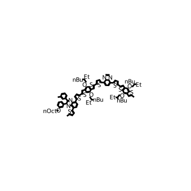 CCCCCCCCOc1cccc(-c2nc3c(-c4ccc(C)s4)ccc(-c4ccc(-c5cc6c(OCC(CC)CCCC)c7sc(-c8ccc(-c9ccc(-c%10ccc(-c%11cc%12c(OCC(CC)CCCC)c%13sc(C)cc%13c(OCC(CC)CCCC)c%12s%11)s%10)c%10nccnc9%10)s8)cc7c(OCC(CC)CCCC)c6s5)s4)c3nc2-c2cccc(C)c2)c1